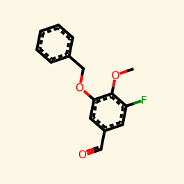 COc1c(F)cc(C=O)cc1OCc1ccccc1